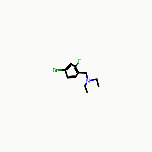 CCN(CC)Cc1ccc(Br)cc1F